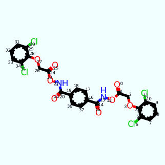 O=C(COc1c(Cl)cccc1Cl)ONC(=O)c1ccc(C(=O)NOC(=O)COc2c(Cl)cccc2Cl)cc1